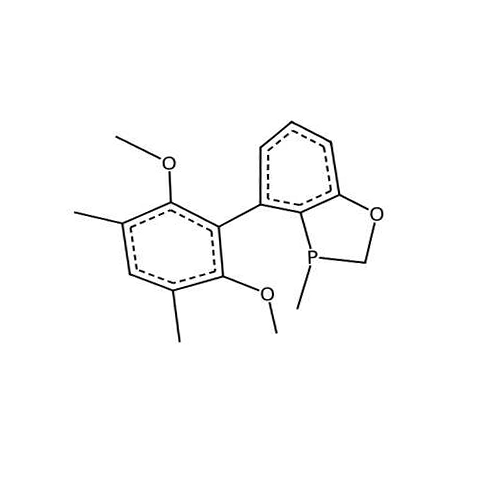 COc1c(C)cc(C)c(OC)c1-c1cccc2c1P(C)CO2